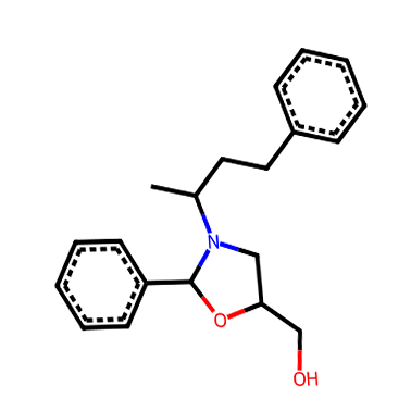 CC(CCc1ccccc1)N1CC(CO)OC1c1ccccc1